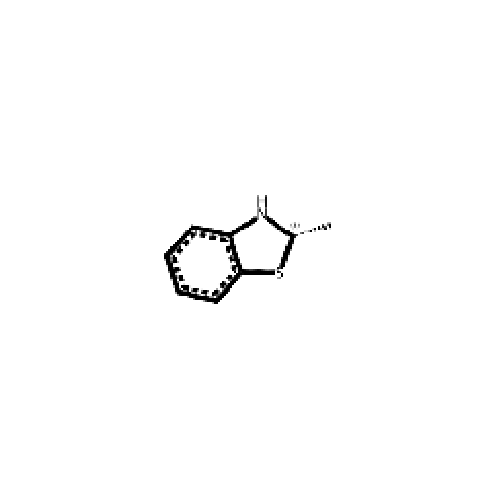 C[C@H]1Nc2ccccc2S1